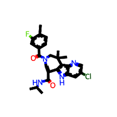 Cc1ccc(C(=O)N2C=C(C(=O)NC(C)C)c3[nH]c4cc(Cl)cnc4c3C(C)(C)C2)cc1F